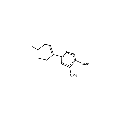 COc1cc(C2=CCC(C)CC2)nnc1OC